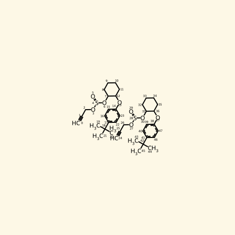 C#CCOS(=O)OC1CCCCC1Oc1ccc(C(C)(C)C)cc1.C#CCOS(=O)OC1CCCCC1Oc1ccc(C(C)(C)C)cc1